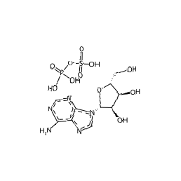 Nc1ncnc2c1ncn2[C@@H]1O[C@H](CO)[C@@H](O)[C@H]1O.O=P(O)(O)OS(=O)(=O)O